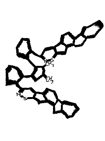 CC1=C(C)C(c2ccccc2-c2cc3c4ccc5c(c4cc-3sn2)Cc2ccccc2-5)=C(c2ccccc2-c2cc3c4ccc5c(c4cc-3sn2)Cc2ccccc2-5)C1